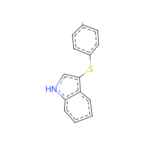 [c]1ccc(Sc2c[nH]c3ccccc23)cc1